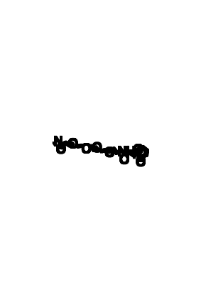 C=NC(=O)CCOCCOCCOCCOCCNC(=O)CCN1OCC=CC1=O